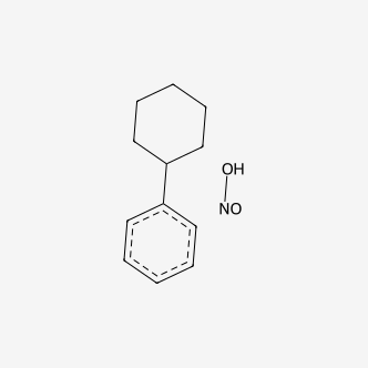 O=NO.c1ccc(C2CCCCC2)cc1